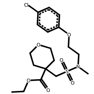 CCOC(=O)C1(CS(=O)(=O)N(C)CCOc2ccc(Cl)cc2)CCOCC1